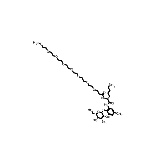 [CH2]c1ccc(O[C@@H]2O[C@H](CO)[C@@H](O)[C@H](O)[C@H]2O)c(NC(=O)[C@H](CCCCN)NC(=O)CCOCCOCCOCCOCCOCCOCCOCCOC)c1